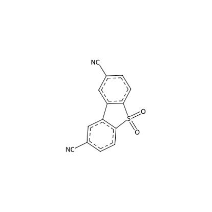 N#Cc1ccc2c(c1)-c1cc(C#N)ccc1S2(=O)=O